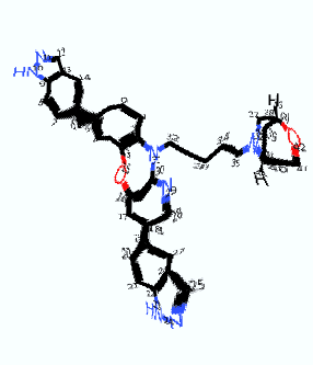 c1cc2c(cc1-c1ccc3[nH]ncc3c1)Oc1cc(-c3ccc4[nH]ncc4c3)cnc1N2CCCCN1C[C@H]2C[C@@H]1CO2